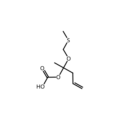 C=CCC(C)(OCSC)OC(=O)O